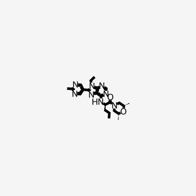 CCC[C@@H](Nc1ncnc2c1nc(-c1cnc(C)nc1)n2CC)C(=O)N1C[C@@H](C)O[C@@H](C)C1